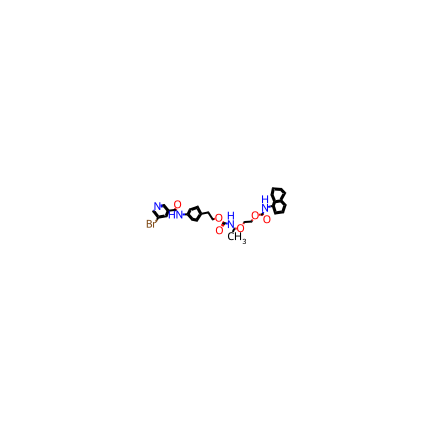 CC(NC(=O)OCCc1ccc(NC(=O)c2cncc(Br)c2)cc1)OCCOC(=O)Nc1cccc2ccccc12